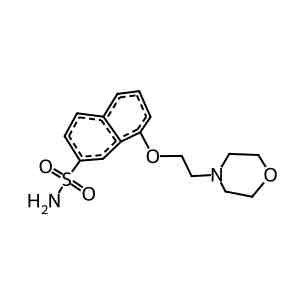 NS(=O)(=O)c1ccc2cccc(OCCN3CCOCC3)c2c1